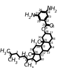 CC(C)CCCC(C)C1CCC2C3CCC4CCC(OC(=O)c5cc(N)cc(N)c5)CC4(C)C3CCC12C